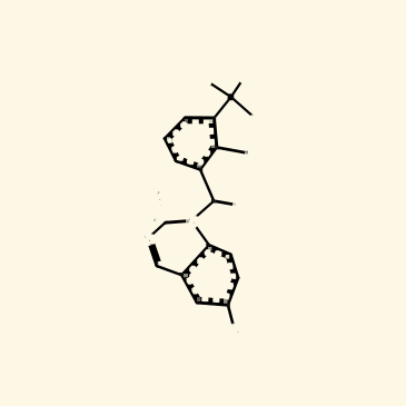 CC(c1cccc(C(C)(F)F)c1F)N1c2ccc(Br)cc2C=N[C@@H]1C